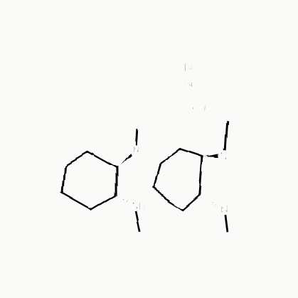 CN[C@@H]1CCCC[C@H]1NC.CN[C@@H]1CCCC[C@H]1NC.[Br-].[Br-].[Cu+2]